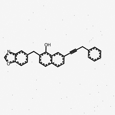 Oc1c(Cc2ccc3ocnc3c2)ccc2ccc(C#CCc3ccccc3)cc12